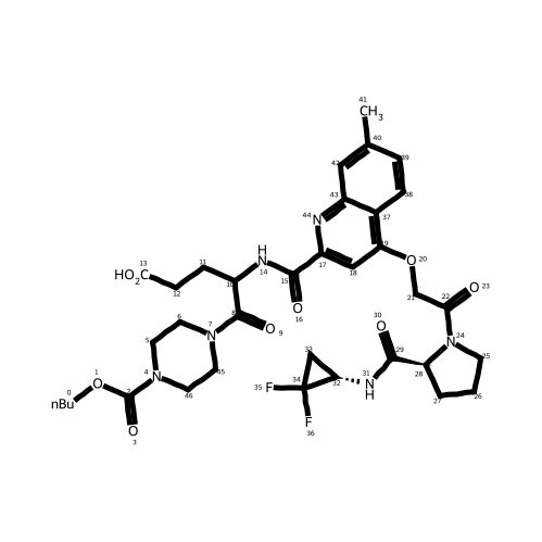 CCCCOC(=O)N1CCN(C(=O)C(CCC(=O)O)NC(=O)c2cc(OCC(=O)N3CCC[C@H]3C(=O)N[C@H]3CC3(F)F)c3ccc(C)cc3n2)CC1